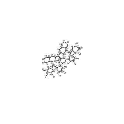 Cc1cc2c(c(C)c1C)c1c(C)c(C)c(C)cc1n2-c1c2ccccc2cc2c1c1cccc3c4c(-n5c6cc(C)c(C)c(C)c6c6c(C)c(C)c(C)cc65)c5ccccc5cc4n2c13